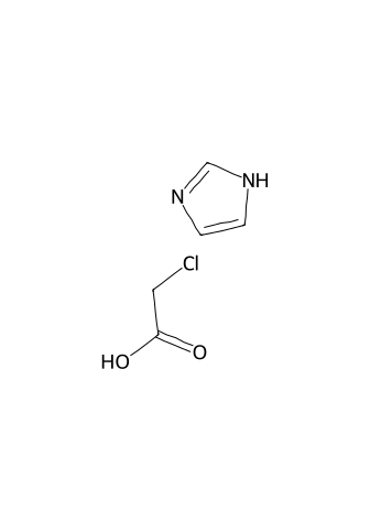 O=C(O)CCl.c1c[nH]cn1